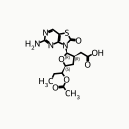 CCC(OC(C)=O)[C@@H]1C[C@H](CC(=O)O)[C@H](n2c(=O)sc3cnc(N)nc32)O1